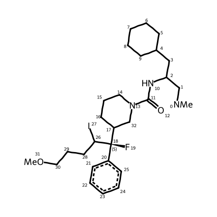 CNCC(CC1CCCCC1)NC(=O)N1CCCC([C@](F)(c2ccccc2)C(I)CCCOC)C1